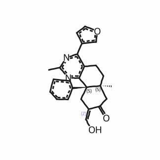 Cc1nc(-c2ccoc2)c2c(n1)[C@@]1(c3ccccc3)C/C(=C/O)C(=O)C[C@]1(C)CC2